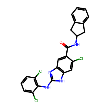 O=C(NC1Cc2ccccc2C1)c1cc2nc(Nc3c(Cl)cccc3Cl)[nH]c2cc1Cl